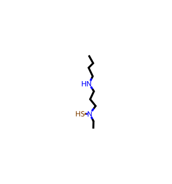 CCCCNCCCN(S)CC